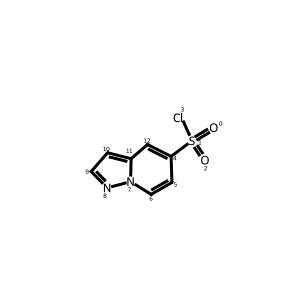 O=S(=O)(Cl)c1ccn2nccc2c1